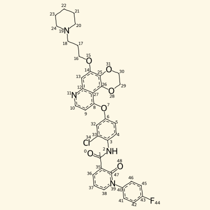 O=C(Nc1ccc(Oc2ccnc3cc(OCCCN4CCCCC4)c4c(c23)OCCO4)cc1Cl)c1cccn(-c2ccc(F)cc2)c1=O